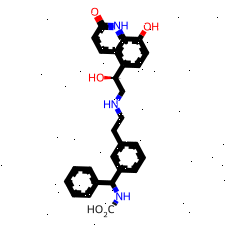 O=C(O)NC(c1ccccc1)c1cccc(CCNC[C@@H](O)c2ccc(O)c3[nH]c(=O)ccc23)c1